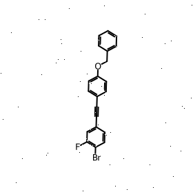 Fc1cc(C#Cc2ccc(OCc3ccccc3)cc2)ccc1Br